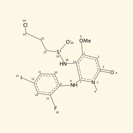 COc1cc(=O)n(C)c(Nc2ccc(I)cc2F)c1N[S+]([O-])CCCCl